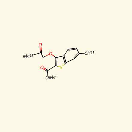 COC(=O)COc1c(C(=O)OC)sc2cc(C=O)ccc12